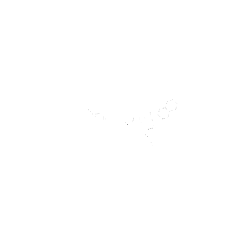 CCOC(=O)NN=CN1CCC[C@@H](CNC(=O)C[C@H](NS(=O)(=O)c2ccc3ccccc3c2)C(=O)N(CC(=O)O)C2CC2)C1